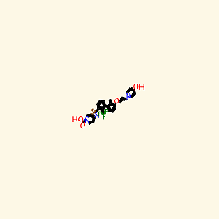 Cc1c(OCCCN2CCC(O)CC2)cccc1-c1cccc(-c2nc3c(s2)CN(C(=O)O)CC3)c1C(F)(F)F